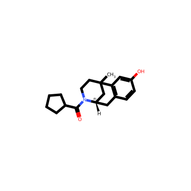 CC12CCN(C(=O)C3CCCC3)[C@@H](Cc3ccc(O)cc31)C2